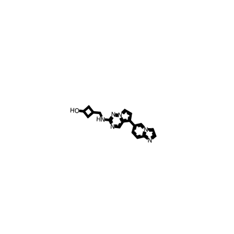 OC1CC(CNc2ncc3c(-c4ccc5nccn5c4)ccn3n2)C1